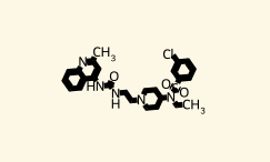 CCN(C1CCN(CCNC(=O)Nc2cc(C)nc3ccccc23)CC1)S(=O)(=O)c1cccc(Cl)c1